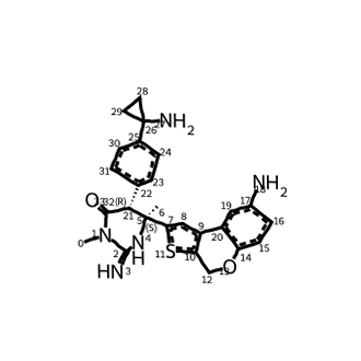 CN1C(=N)N[C@](C)(c2cc3c(s2)COc2ccc(N)cc2-3)[C@@H](c2ccc(C3(N)CC3)cc2)C1=O